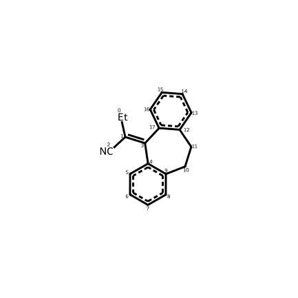 CCC(C#N)=C1c2ccccc2CCc2ccccc21